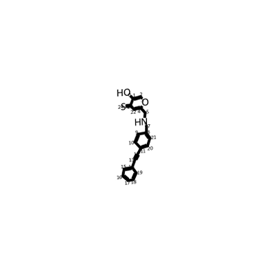 Oc1coc(CNCc2ccc(C#Cc3ccccc3)cc2)cc1=S